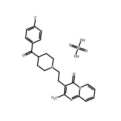 Cc1nc2ccccn2c(=O)c1CCN1CCC(C(=O)c2ccc(F)cc2)CC1.O=S(=O)(O)O